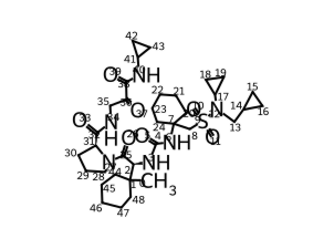 CC1([C@H](NC(=O)NC2(CS(=O)(=O)N(CC3CC3)C3CC3)CCCCC2)C(=O)N2CCC[C@H]2C(=O)NCC(=O)C(=O)NC2CC2)CCCCC1